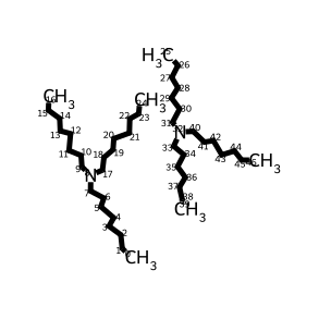 CCCCCCCCN(CCCCCCCC)CCCCCCCC.CCCCCCCN(CCCCCCC)CCCCCCC